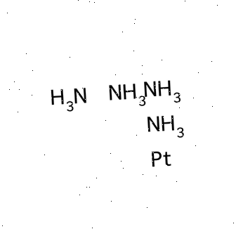 N.N.N.N.[Pt]